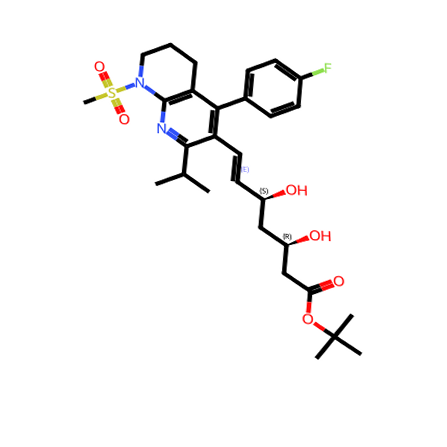 CC(C)c1nc2c(c(-c3ccc(F)cc3)c1/C=C/[C@@H](O)C[C@@H](O)CC(=O)OC(C)(C)C)CCCN2S(C)(=O)=O